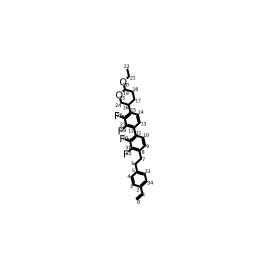 C=Cc1ccc(CCc2ccc(-c3ccc(C4CCC(OCC)OC4)c(F)c3F)c(F)c2F)cc1